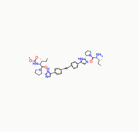 CC[C@@H](C)[C@H](N)C(=O)N1CCC[C@H]1c1ncc(-c2ccc(C#Cc3ccc(-c4cnc([C@@H]5CCCN5C(=O)[C@@H](NC(=O)OC)[C@H](C)CC)[nH]4)cc3)cc2)[nH]1